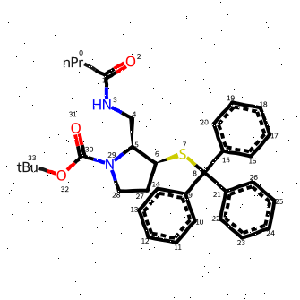 CCCC(=O)NC[C@H]1[C@@H](SC(c2ccccc2)(c2ccccc2)c2ccccc2)CCN1C(=O)OC(C)(C)C